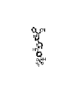 CN(C)S(=O)(=O)Nc1ccc(Nc2nccc(-c3cnn(C(CC#N)C4CCCC4)c3)n2)cc1